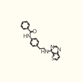 O=C(Nc1ccc(CCNc2ncnc3ccsc23)cc1)c1ccccc1